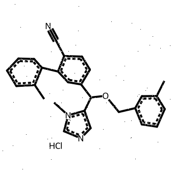 Cc1cccc(COC(c2ccc(C#N)c(-c3ccccc3C)c2)c2cncn2C)c1.Cl